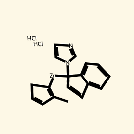 CC1=[C]([Zr][C]2(n3ccnc3)C=Cc3ccccc32)CC=C1.Cl.Cl